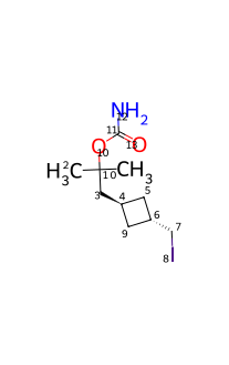 CC(C)(C[C@H]1C[C@H](CI)C1)OC(N)=O